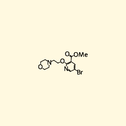 COC(=O)c1cc(Br)cnc1OCCN1CCOCC1